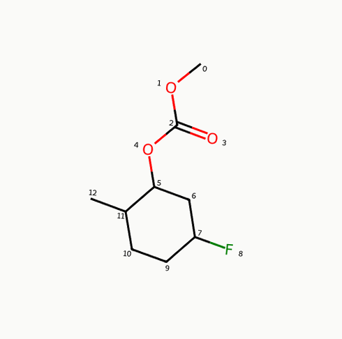 COC(=O)OC1CC(F)CCC1C